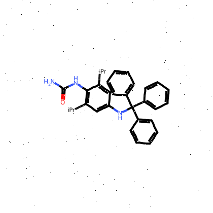 CC(C)c1cc(NC(c2ccccc2)(c2ccccc2)c2ccccc2)cc(C(C)C)c1NC(N)=O